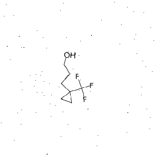 OCCCC1(C(F)(F)F)CC1